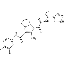 Cc1c(C(=O)C(=O)NC2(c3c[nH]nn3)CC2)c2n(c1C(=O)Nc1ccc(F)c(Cl)c1)CCC2